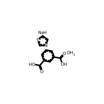 O.O=C(O)c1cccc(C(=O)O)c1.[NaH].c1cscn1